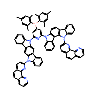 Cc1cc(C)c(B(c2cc(-n3c4ccccc4c4cc5c(cc43)c3ccccc3n5-c3ccc4ccc5cccnc5c4n3)nc(-n3c4ccccc4c4c3ccc3c5ccccc5n(-c5ccc6ccc7cccnc7c6n5)c34)c2)c2c(C)cc(C)cc2C)c(C)c1